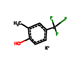 Cc1cc([B-](F)(F)F)ccc1O.[K+]